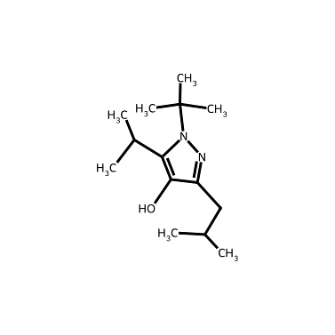 CC(C)Cc1nn(C(C)(C)C)c(C(C)C)c1O